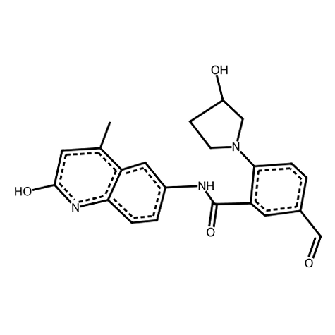 Cc1cc(O)nc2ccc(NC(=O)c3cc(C=O)ccc3N3CCC(O)C3)cc12